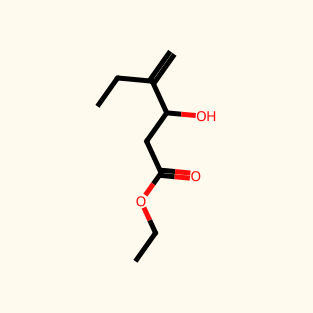 C=C(CC)C(O)CC(=O)OCC